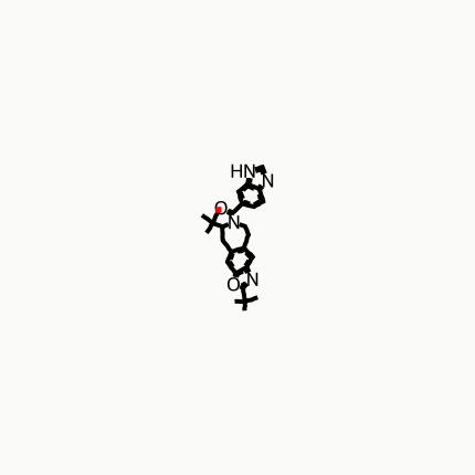 CC(C)(C)c1nc2cc3c(cc2o1)CC(C(C)(C)C)N(C(=O)c1ccc2nc[nH]c2c1)CC3